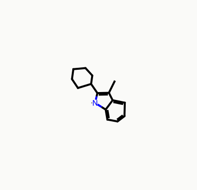 CC1=C(C2CCCCC2)[N]c2ccccc21